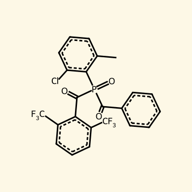 Cc1cccc(Cl)c1P(=O)(C(=O)c1ccccc1)C(=O)c1c(C(F)(F)F)cccc1C(F)(F)F